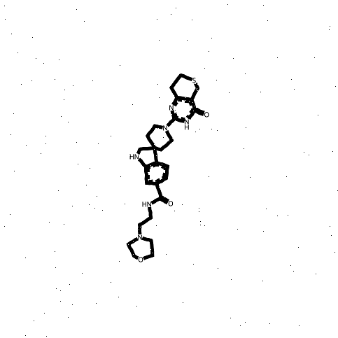 O=C(NCCN1CCOCC1)c1ccc2c(c1)NCC21CCN(c2nc3c(c(=O)[nH]2)CSCC3)CC1